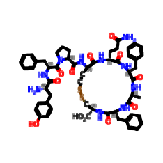 C[C@@H]1NC(=O)[C@H](Cc2ccccc2)NC(=O)[C@H](CCC(N)=O)NC(=O)[C@H](NC(=O)[C@@H]2CCCN2C(=O)[C@H](Cc2ccccc2)NC(=O)[C@@H](N)Cc2ccc(O)cc2)CCSSC[C@@H](C(=O)O)NC(=O)[C@H](Cc2ccccc2)NC1=O